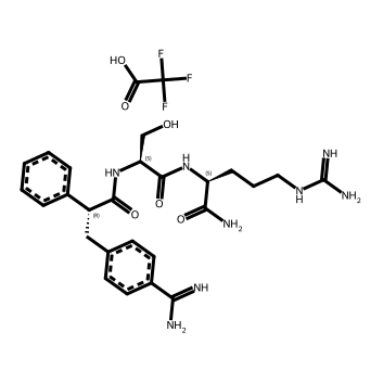 N=C(N)NCCC[C@H](NC(=O)[C@H](CO)NC(=O)[C@H](Cc1ccc(C(=N)N)cc1)c1ccccc1)C(N)=O.O=C(O)C(F)(F)F